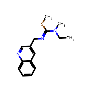 CCN(C)C(=NCc1cnc2ccccc2c1)SC